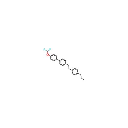 CCCc1ccc(CCc2ccc(-c3ccc(OC(F)F)cc3)cc2)cc1